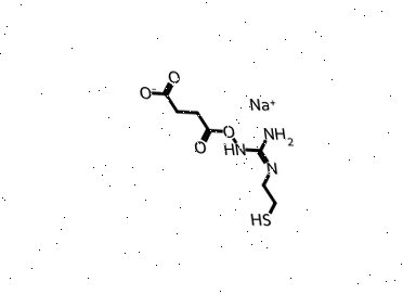 NC(=NCCS)NOC(=O)CCC(=O)[O-].[Na+]